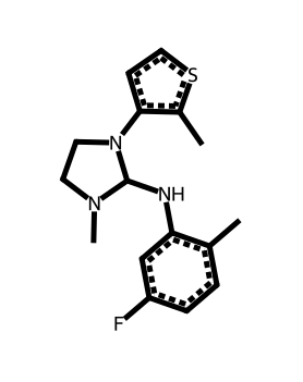 Cc1ccc(F)cc1NC1N(C)CCN1c1ccsc1C